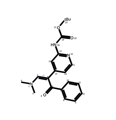 CN(C)/C=C(\C(=O)c1ccccc1)c1ccnc(NC(=O)OC(C)(C)C)c1